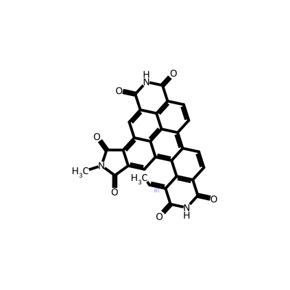 C/C=c1/c(=O)[nH]c(=O)c2ccc3c4ccc5c(=O)[nH]c(=O)c6cc7c8c(=O)n(C)c(=O)c8cc(c3c12)c7c4c56